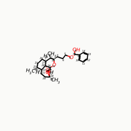 C[C@H]1[C@@H](CCCOC(O)c2ccccc2)O[C@@H]2O[C@]3(C)CC[C@H]4[C@H](C)CC[C@@H]1[C@@]24OO3